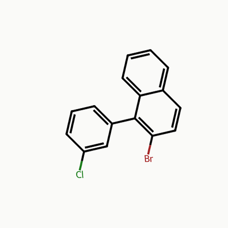 Clc1cccc(-c2c(Br)ccc3ccccc23)c1